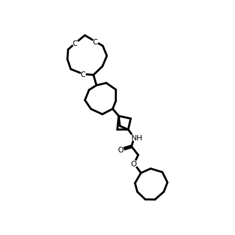 O=C(COC1CCCCCCCC1)NC12CC(C3CCCCC(C4CCCCCCCCCC4)CCC3)(C1)C2